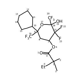 CCC(C)(C)C(=O)OC1CC(C2CCCCC2)(C(F)(F)F)OC(O)(C(F)(F)F)C1(F)F